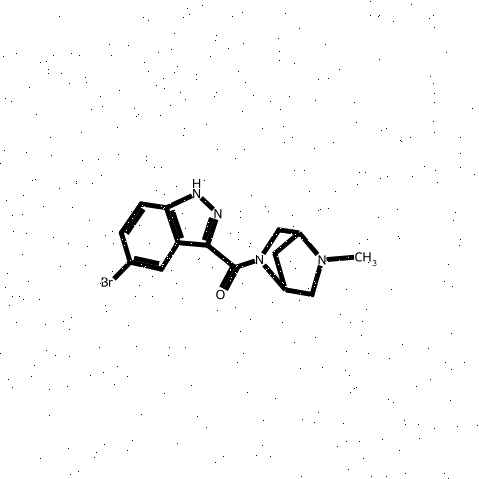 CN1CC2CC1CN2C(=O)c1n[nH]c2ccc(Br)cc12